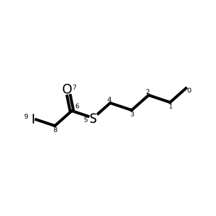 CCCCCSC(=O)CI